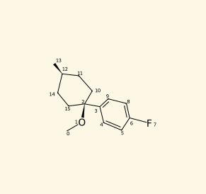 CO[C@]1(c2ccc(F)cc2)CC[C@H](C)CC1